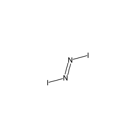 IN=NI